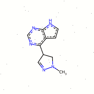 CN1CC(c2ncnc3[nH]ccc23)C=N1